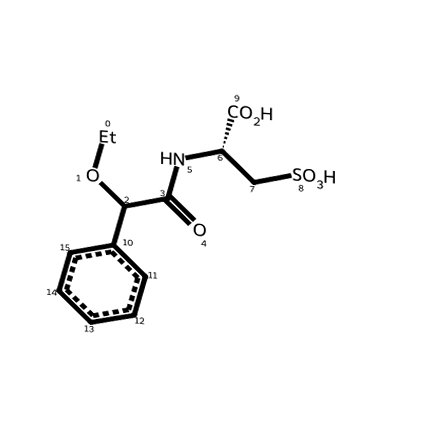 CCOC(C(=O)N[C@@H](CS(=O)(=O)O)C(=O)O)c1ccccc1